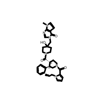 C=CCn1cccc1C(=O)N1CC[C@@H](C(=O)N2CCC(O)(Cn3cnc4c(ccn4C)c3=O)CC2)[C@H](c2ccccc2)C1